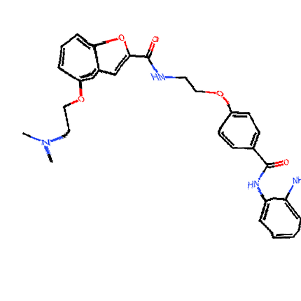 CN(C)CCOc1cccc2oc(C(=O)NCCOc3ccc(C(=O)Nc4ccccc4N)cc3)cc12